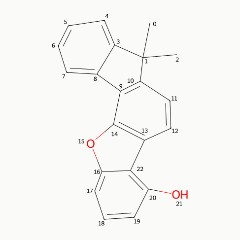 CC1(C)c2ccccc2-c2c1ccc1c2oc2cccc(O)c21